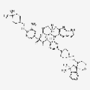 CC1(O)CCC(CNc2ccc(S(=O)(=O)NC(=O)c3ccc(N4CCC5(CC4)CC(N4CCOC[C@]46CC(C)(C)c4ccccc46)C5)cc3N3c4cc5cc[nH]c5nc4O[C@H]4COCC[C@@H]43)cc2[N+](=O)[O-])CC1